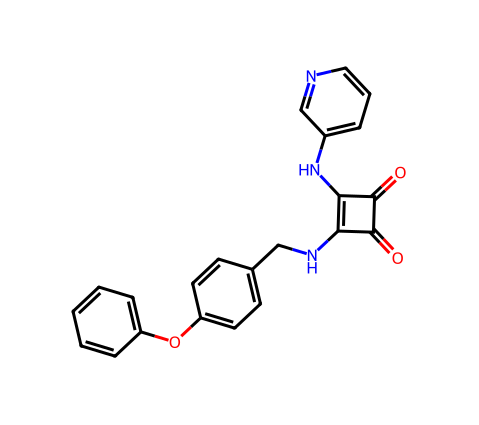 O=c1c(NCc2ccc(Oc3ccccc3)cc2)c(Nc2cccnc2)c1=O